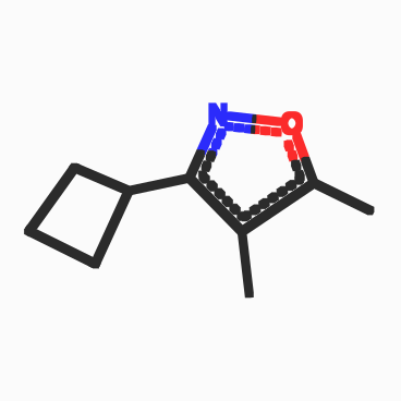 Cc1onc(C2CCC2)c1C